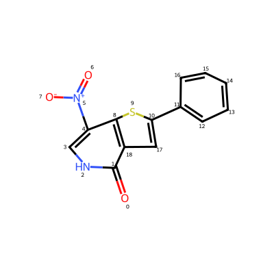 O=c1[nH]cc([N+](=O)[O-])c2sc(-c3ccccc3)cc12